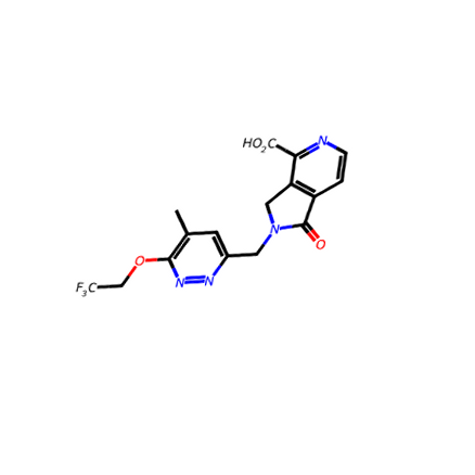 Cc1cc(CN2Cc3c(ccnc3C(=O)O)C2=O)nnc1OCC(F)(F)F